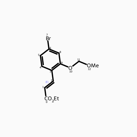 CCOC(=O)/C=C/c1ccc(Br)cc1OCOC